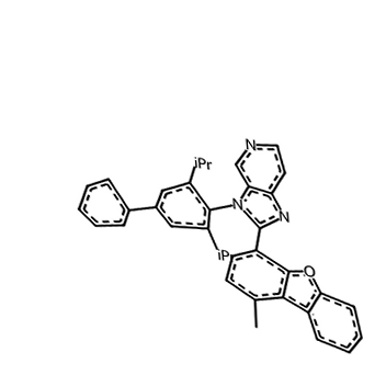 Cc1ccc(-c2nc3ccncc3n2-c2c(C(C)C)cc(-c3ccccc3)cc2C(C)C)c2oc3ccccc3c12